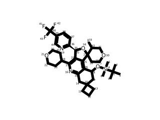 CC(C)(C)[Si](C)(C)OC1CC2(CCC2)Cc2nc(C3CCOCC3)c3c(c21)C1(CCOCC1I)O[C@@H]3c1ccc(C(F)(F)F)cn1